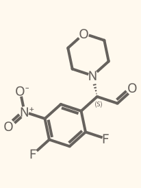 O=C[C@H](c1cc([N+](=O)[O-])c(F)cc1F)N1CCOCC1